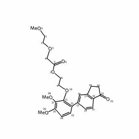 COCCOCC(=O)OCCOc1c(-c2ccc3c(c2)CCC3=O)ccc(OC)c1OC